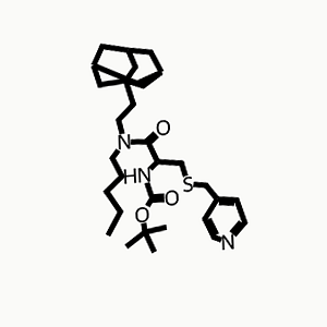 CCCCCN(CCC12CC3CC(CC(C3)C1)C2)C(=O)C(CSCc1ccncc1)NC(=O)OC(C)(C)C